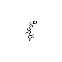 O=C1CCC(N2Cc3cc(-c4coc(-c5ccccc5)n4)ccc3C2=O)C(=O)N1